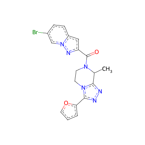 CC1c2nnc(-c3ccco3)n2CCN1C(=O)c1cc2ccc(Br)cn2n1